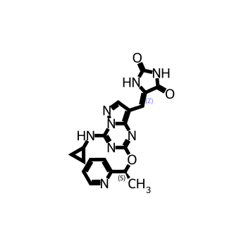 C[C@H](Oc1nc(NC2CC2)n2ncc(/C=C3\NC(=O)NC3=O)c2n1)c1ccccn1